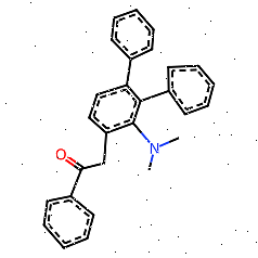 CN(C)c1c(CC(=O)c2ccccc2)ccc(-c2ccccc2)c1-c1ccccc1